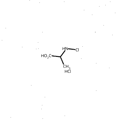 CC(NCl)C(=O)O.Cl